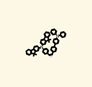 CC1(C)C2=C(CCC=C2)c2ccc(N(c3ccc(/C=C\c4ccc(-c5ccc(N(c6ccccc6)c6ccccc6)cc5)cc4)cc3)c3ccc4c(c3)C(C)(C)c3ccccc3-4)cc21